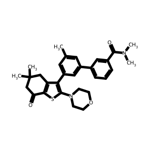 Cc1cc(-c2cccc(C(=O)N(C)C)c2)cc(-c2c(N3CCOCC3)sc3c2CC(C)(C)CC3=O)c1